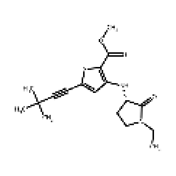 CCN1CC[C@H](Nc2cc(C#CC(C)(C)C)sc2C(=O)OC)C1=O